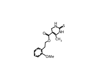 COc1ccccc1CCOC(=O)C1=C(C)NC(=S)NC1